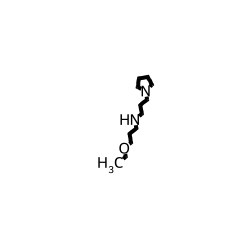 CCOCCCNCCCN1CCCC1